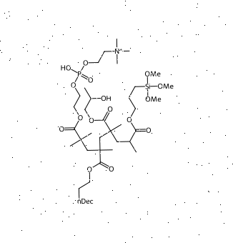 CCCCCCCCCCCCOC(=O)C(C)(CC(C)(C)C(=O)OCCOP(=O)(O)OCC[N+](C)(C)C)CC(C)(CC(C)C(=O)OCCC[Si](OC)(OC)OC)C(=O)OCC(C)O